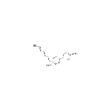 CCCC[C@H]1CC[C@H]([C@H]2CC[C@@](CCC=CC=CC#N)(OC)CC2)CC1